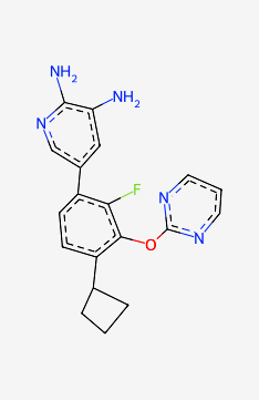 Nc1cc(-c2ccc(C3CCC3)c(Oc3ncccn3)c2F)cnc1N